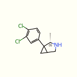 C[C@@H]1NCC2CC21c1ccc(Cl)c(Cl)c1